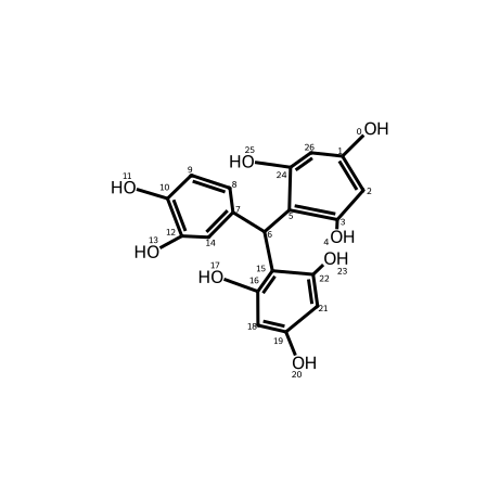 Oc1cc(O)c(C(c2ccc(O)c(O)c2)c2c(O)cc(O)cc2O)c(O)c1